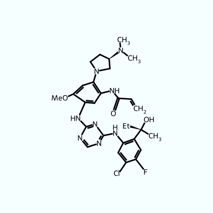 C=CC(=O)Nc1cc(Nc2ncnc(Nc3cc(Cl)c(F)cc3[C@@](C)(O)CC)n2)c(OC)cc1N1CC[C@@H](N(C)C)C1